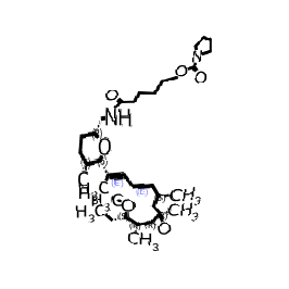 CC[C@H](OC)[C@@H](C)[C@H]1O[C@]1(C)C[C@H](C)/C=C/C=C(\C)[C@H]1O[C@@H](CNC(=O)CCCCCOC(=O)N2CCCC2)CC[C@@H]1C